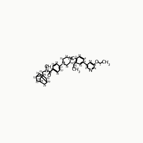 CCOc1cncc(-c2ccc(CN3CCN(c4ccc(C(=O)N(C)CC56CC7CC(CC(C7)C5)C6)cc4)CC3)c(CC)c2)c1